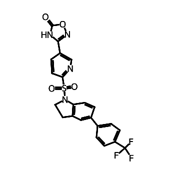 O=c1[nH]c(-c2ccc(S(=O)(=O)N3CCc4cc(-c5ccc(C(F)(F)F)cc5)ccc43)nc2)no1